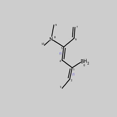 BC(=C/C)/C=C(\C=C)N(C)C